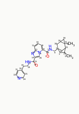 C=C1CC2(CNC(=O)c3cccc4nc(C(=O)NCCc5ccncc5)cn34)CC3CC3(C)C1C2